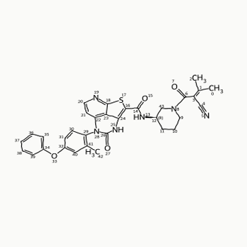 CC(C)=C(C#N)C(=O)N1CCC[C@@H](NC(=O)c2sc3nccc4c3c2NC(=O)N4c2ccc(Oc3ccccc3)cc2C)C1